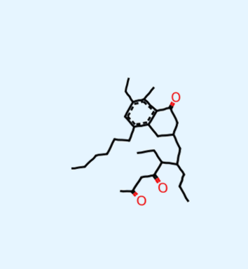 CCCCCCc1cc(CC)c(C)c2c1CC(CC(CCC)C(CC)C(=O)CC(C)=O)CC2=O